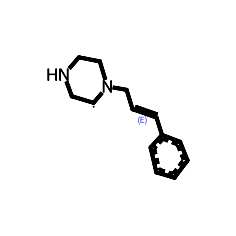 [CH]1CNCCN1C/C=C/c1ccccc1